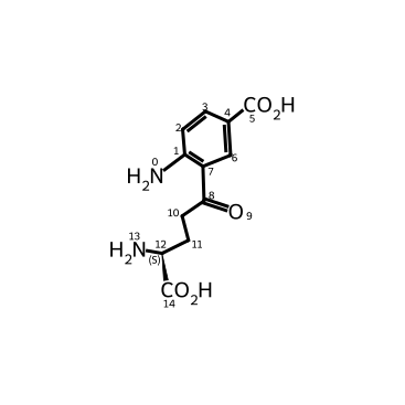 Nc1ccc(C(=O)O)cc1C(=O)CC[C@H](N)C(=O)O